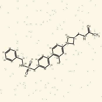 CC(=O)NC[C@H]1CN(c2ccc(-c3ccc(CS(=O)(=O)NCc4ccccc4)cc3)c(F)c2)O1